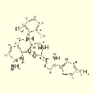 Cc1ccc(-c2ccc(C(=O)N[C@@H](Cc3cccc(Cl)c3)C(=O)NCc3ccc(N)nc3)[nH]2)cc1